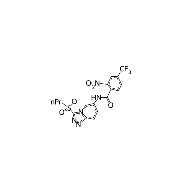 CCCS(=O)(=O)c1nnc2ccc(NC(=O)c3ccc(C(F)(F)F)cc3[N+](=O)[O-])cn12